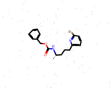 C[C@@H](CCCc1cccc(Br)n1)NC(=O)OCc1ccccc1